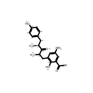 CC(C)C(=O)c1cc(N)cc(CC(C)C(=O)[C@@H](N)Cc2ccc(O)cc2)c1O